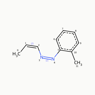 C/C=C\N=N/c1ccccc1C